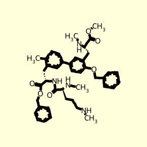 CNCCC[C@H](NC)C(=O)N[C@@H](Cc1cc(-c2ccc(OCc3ccccc3)c(C[C@H](NC)C(=O)OC)c2)ccc1C)C(=O)OCc1ccccc1